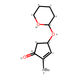 CCCCC1=CC(OC2CCCCO2)CC1=O